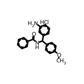 COc1ccc(C(NC(=O)c2ccccc2)c2cccc(N)c2)cc1.Cl